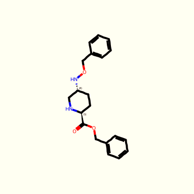 O=C(OCc1ccccc1)[C@@H]1CC[C@@H](NOCc2ccccc2)CN1